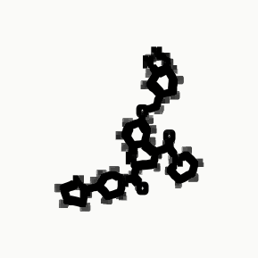 O=C(c1cc(C(=O)N2CCCCC2)c2cc(OCc3ccc4snnc4c3)ccc2n1)N1CCC(n2cccn2)CC1